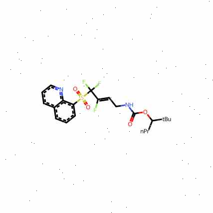 CCCC(OC(=O)NC/C=C(\F)C(F)(F)S(=O)(=O)c1cccc2cccnc12)C(C)(C)C